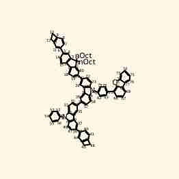 CCCCCCCCC1(CCCCCCCC)c2cc(-c3ccc4c(c3)CC4)ccc2-c2ccc(-c3ccc4c(c3)c3cc(-c5ccc6c(c5)c5cc(-c7ccc8c(c7)CC8)ccc5n6-c5ccccc5)ccc3n4-c3ccc(-c4cccc5c4oc4ccccc45)cc3)cc21